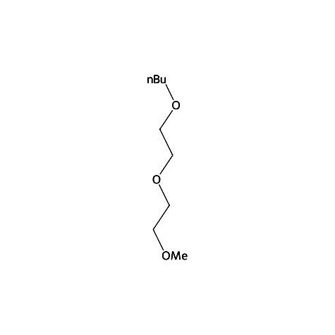 [CH2]CCCOCCOCCOC